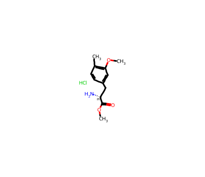 COC(=O)[C@H](N)Cc1ccc(C)c(OC)c1.Cl